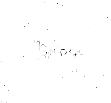 CC(C)[C@H](N)C(=O)N[C@@H](CCCNC(N)=O)C(=O)Nc1ccc(C(=O)OC(C)(C)C)cc1